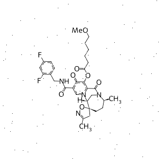 COCCCCCC(=O)Oc1c2n(cc(C(=O)NCc3ccc(F)cc3F)c1=O)[C@@H]1CN(C2=O)[C@@H](C)CC[C@]12CC(C)=NO2